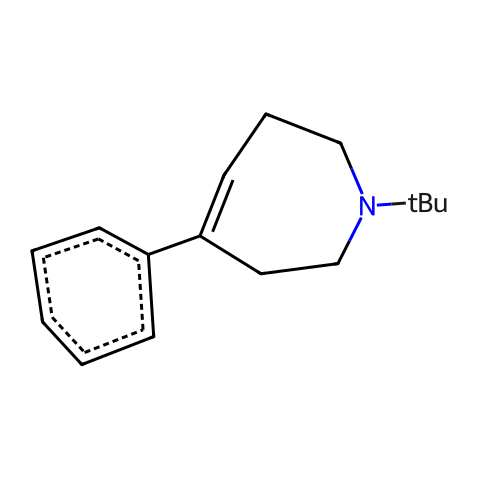 CC(C)(C)N1CCC=C(c2ccccc2)CC1